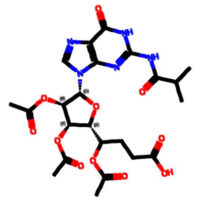 CC(=O)OC(CCC(=O)O)[C@H]1O[C@@H](n2cnc3c(=O)[nH]c(NC(=O)C(C)C)nc32)[C@H](OC(C)=O)[C@@H]1OC(C)=O